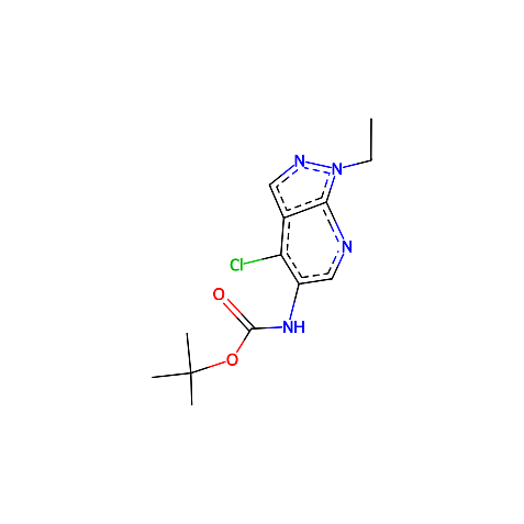 CCn1ncc2c(Cl)c(NC(=O)OC(C)(C)C)cnc21